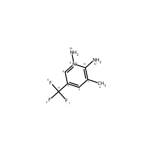 Cc1cc(C(F)(F)F)c[n+](N)c1N